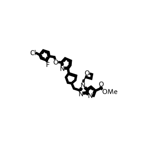 COC(=O)c1cnc2nc(CC3CC=C(c4cccc(OCc5ccc(Cl)cc5F)n4)CC3)n(C[C@@H]3CCO3)c2c1